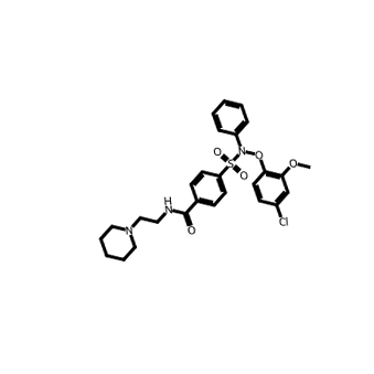 COc1cc(Cl)ccc1ON(c1ccccc1)S(=O)(=O)c1ccc(C(=O)NCCN2CCCCC2)cc1